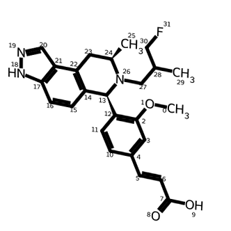 COc1cc(/C=C/C(=O)O)ccc1[C@H]1c2ccc3[nH]ncc3c2C[C@@H](C)N1CC(C)CF